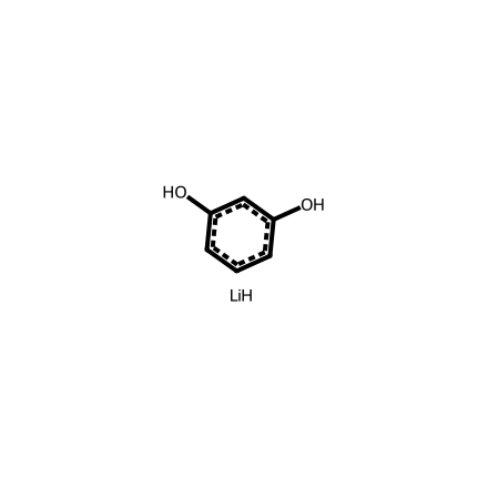 Oc1cccc(O)c1.[LiH]